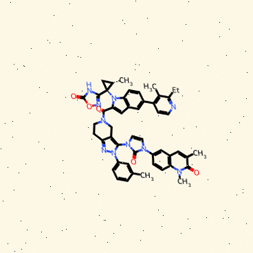 CCc1nccc(-c2ccc3c(c2)cc(C(=O)N2CCc4nn(-c5cccc(C)c5)c(-n5ccn(-c6ccc7c(c6)cc(C)c(=O)n7C)c5=O)c4C2)n3[C@@]2(c3noc(=O)[nH]3)C[C@@H]2C)c1C